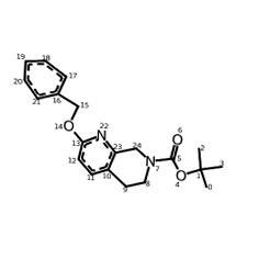 CC(C)(C)OC(=O)N1CCc2ccc(OCc3ccccc3)nc2C1